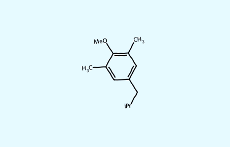 COc1c(C)cc(CC(C)C)cc1C